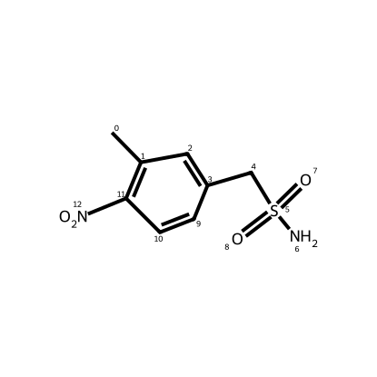 Cc1cc(CS(N)(=O)=O)ccc1[N+](=O)[O-]